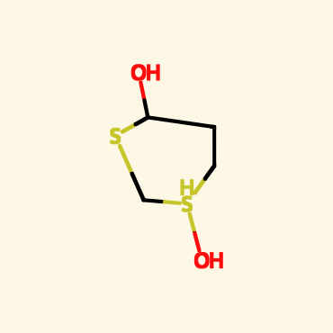 OC1CC[SH](O)CS1